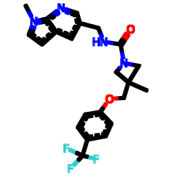 Cn1ccc2cc(CNC(=O)N3CC(C)(COc4ccc(C(F)(F)F)cc4)C3)cnc21